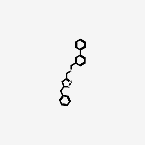 c1ccc(CC2CC(COCc3cccc(-c4ccccc4)c3)=NO2)cc1